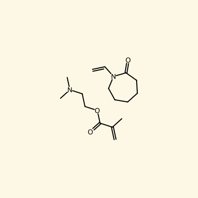 C=C(C)C(=O)OCCN(C)C.C=CN1CCCCCC1=O